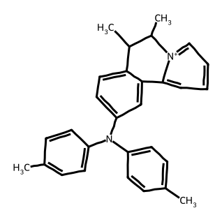 Cc1ccc(N(c2ccc(C)cc2)c2ccc3c(c2)-c2cccc[n+]2C(C)C3C)cc1